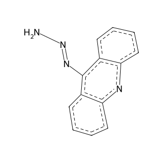 NN=Nc1c2ccccc2nc2ccccc12